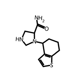 NC(=O)C1CNCN1C1CCCc2sccc21